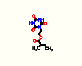 CC=C(C)C(=O)OCCn1c(=O)[nH]c(=O)[nH]c1=O